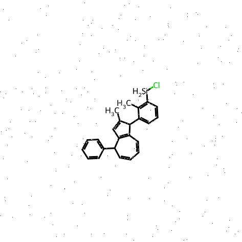 CC1=CC2=C(C=CC=CC2c2ccccc2)C1c1cccc([SiH2]Cl)c1C